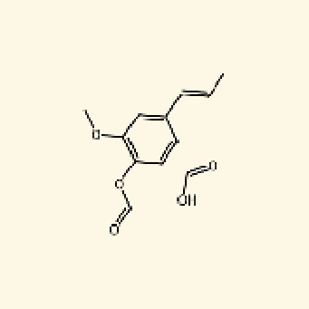 CC=Cc1ccc(OC=O)c(OC)c1.O=CO